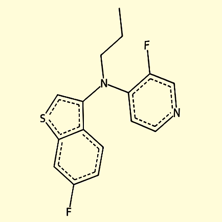 CCCN(c1ccncc1F)c1csc2cc(F)ccc12